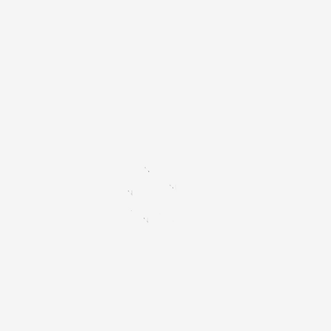 CCO[C@@H](C)Cc1nc2[nH]c(=S)[nH]c(=O)c2[nH]1